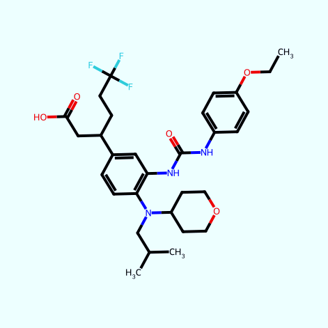 CCOc1ccc(NC(=O)Nc2cc(C(CCC(F)(F)F)CC(=O)O)ccc2N(CC(C)C)C2CCOCC2)cc1